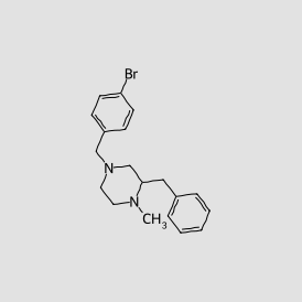 CN1CCN(Cc2ccc(Br)cc2)CC1Cc1ccccc1